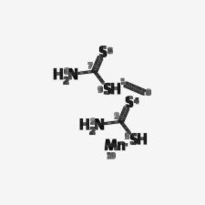 C=C.NC(=S)S.NC(=S)S.[Mn]